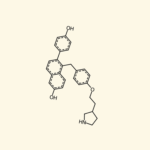 Oc1ccc(-c2ccc3cc(O)ccc3c2Cc2ccc(OCCC3CCNC3)cc2)cc1